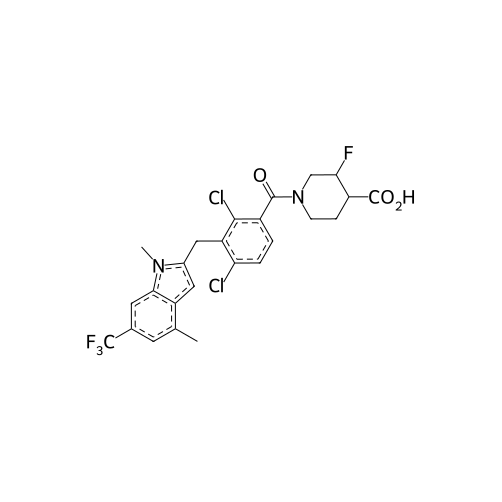 Cc1cc(C(F)(F)F)cc2c1cc(Cc1c(Cl)ccc(C(=O)N3CCC(C(=O)O)C(F)C3)c1Cl)n2C